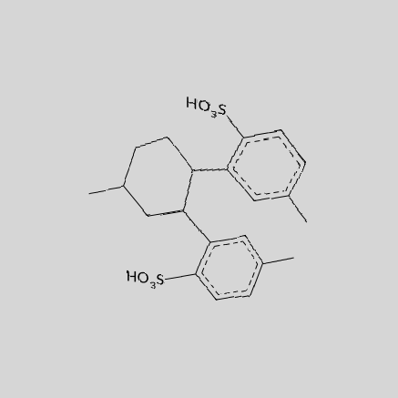 Cc1ccc(S(=O)(=O)O)c(C2CCC(C)CC2c2cc(C)ccc2S(=O)(=O)O)c1